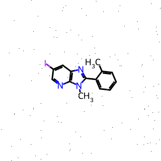 Cc1ccccc1-c1nc2cc(I)cnc2n1C